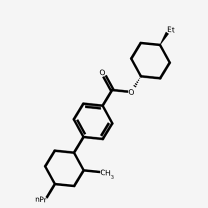 CCCC1CCC(c2ccc(C(=O)O[C@H]3CC[C@H](CC)CC3)cc2)C(C)C1